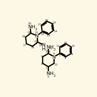 NC1CCC(N)N(c2ccccc2)C1.NC1CCCC(N)N1c1ccccc1